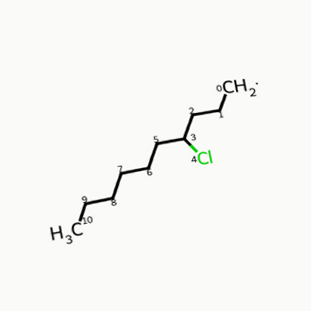 [CH2]CCC(Cl)CCCCCC